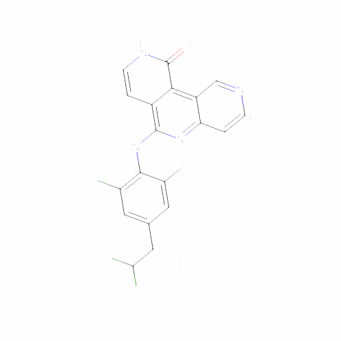 O=c1[nH]ccc2c(Nc3c(Cl)cc([C@H](O)C(F)F)cc3Cl)nc3ccncc3c12